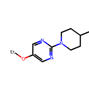 CCOc1cnc(N2CCC(C)CC2)nc1